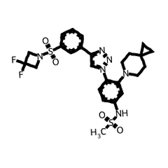 CS(=O)(=O)Nc1ccc(-n2cc(-c3cccc(S(=O)(=O)N4CC(F)(F)C4)c3)nn2)c(N2CCC3(CC2)CC3)c1